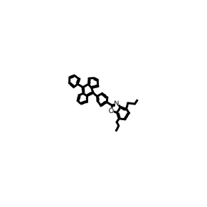 CCCc1ccc(CCC)c2oc(-c3ccc(-c4c5ccccc5c(-c5ccccc5)c5ccccc45)cc3)nc12